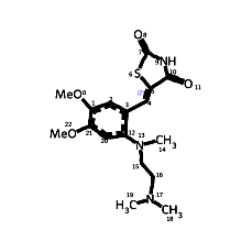 COc1cc(/C=C2\SC(=O)NC2=O)c(N(C)CCN(C)C)cc1OC